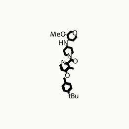 CO[C@@H]1COCC[C@@H]1NC1CCN(C(=O)c2nccc(OCc3ccc(C(C)(C)C)cc3)c2C)CC1